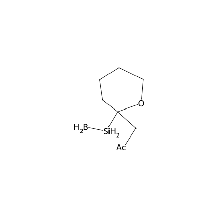 B[SiH2]C1(CC(C)=O)CCCCO1